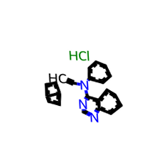 C#CN(c1ccccc1)c1ncnc2ccccc12.Cl.c1cc2ccc1-2